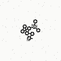 Cc1cncc(C)c1-c1ccccc1-c1cccc2c1-c1cc(-c3cc(-c4ccccc4)nc(-c4ccccc4)n3)ccc1C21c2ccccc2-c2ccccc21